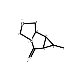 CC1C2C(=O)N3COCC3C12